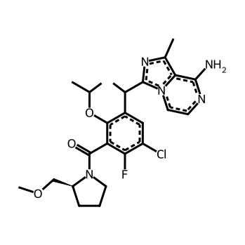 COC[C@@H]1CCCN1C(=O)c1c(F)c(Cl)cc(C(C)c2nc(C)c3c(N)nccn23)c1OC(C)C